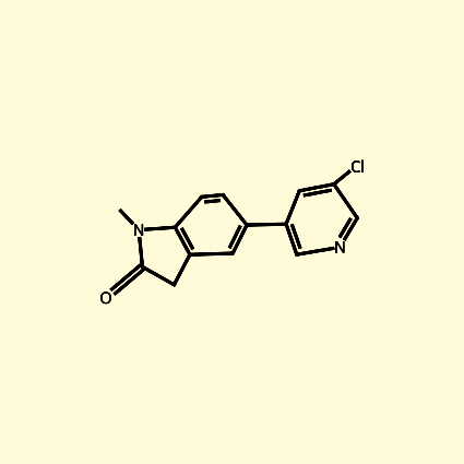 CN1C(=O)Cc2cc(-c3cncc(Cl)c3)ccc21